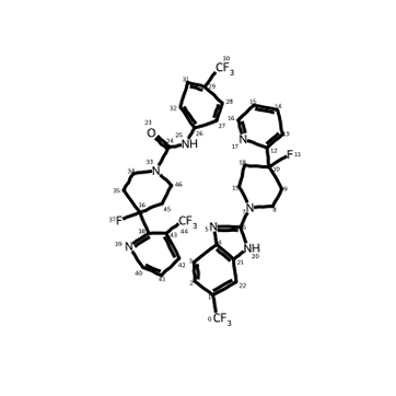 FC(F)(F)c1ccc2nc(N3CCC(F)(c4ccccn4)CC3)[nH]c2c1.O=C(Nc1ccc(C(F)(F)F)cc1)N1CCC(F)(c2ncccc2C(F)(F)F)CC1